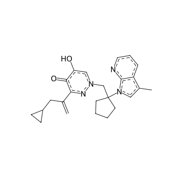 C=C(CC1CC1)c1nn(CC2(n3cc(C)c4cccnc43)CCCC2)cc(O)c1=O